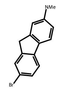 CNc1ccc2c(c1)Cc1cc(Br)ccc1-2